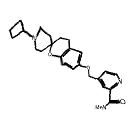 CNC(=O)c1cc(COc2ccc3c(c2)CCC2(CCN(C4CCC4)CC2)O3)ccn1